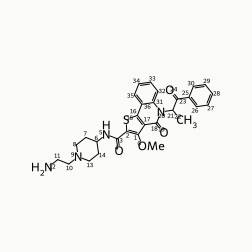 COc1c(C(=O)NC2CCN(CCN)CC2)sc2c1c(=O)n(C(C)C(=O)c1ccccc1)c1ccccc21